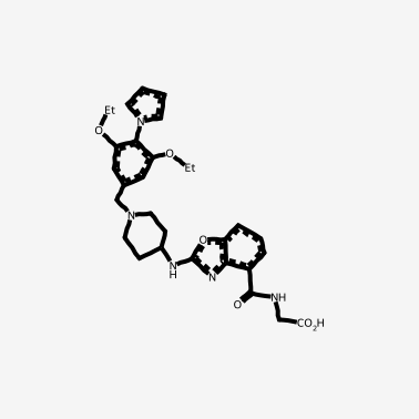 CCOc1cc(CN2CCC(Nc3nc4c(C(=O)NCC(=O)O)cccc4o3)CC2)cc(OCC)c1-n1cccc1